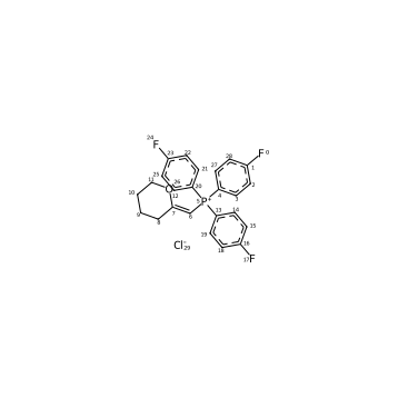 Fc1ccc([P+](C=C2CCCCO2)(c2ccc(F)cc2)c2ccc(F)cc2)cc1.[Cl-]